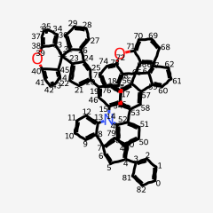 c1ccc(-c2ccc(-c3ccccc3N(c3cccc(-c4ccc5c(c4)-c4ccccc4C54c5ccccc5Oc5ccccc54)c3)c3ccccc3-c3ccc4c(c3)-c3ccccc3C43c4ccccc4Oc4ccccc43)cc2)cc1